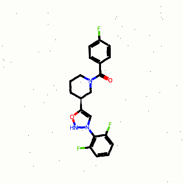 O=C(c1ccc(F)cc1)N1CCC[C@H](C2=CN(c3c(F)cccc3F)NO2)C1